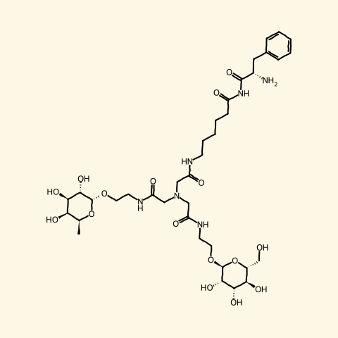 C[C@@H]1O[C@@H](OCCNC(=O)CN(CC(=O)NCCCCCC(=O)NC(=O)[C@@H](N)Cc2ccccc2)CC(=O)NCCO[C@H]2O[C@H](CO)[C@@H](O)[C@H](O)[C@@H]2O)[C@@H](O)[C@H](O)[C@@H]1O